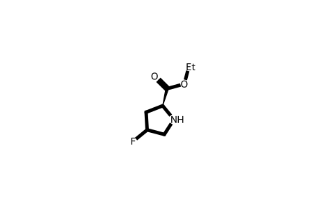 CCOC(=O)[C@@H]1CC(F)CN1